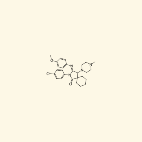 COc1ccc(N=C2C(N3CCN(C)CC3)C3(CCCCC3)C(=O)N2c2ccc(Cl)cc2)cc1